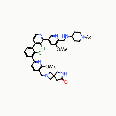 COc1cc(-c2nccc(-c3cccc(-c4ccc(CN5CC6(CNC(=O)C6)C5)c(OC)n4)c3Cl)c2Cl)cnc1CNC1CCN(C(C)=O)CC1